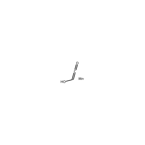 O=C=CO.[Mn]